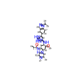 C=CC(=O)Nc1cc(NC(=N)/C=C(\NN)c2ccc3c(cnn3C(C)C)c2)c(OC)cc1N1C[C@@H](C)N(C)[C@@H](C)C1